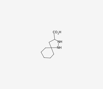 O=C(O)C1CC2(CCCCC2)NN1